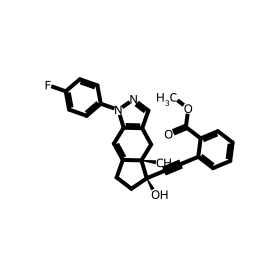 COC(=O)c1ccccc1C#C[C@]1(O)CCC2=Cc3c(cnn3-c3ccc(F)cc3)C[C@@]21C